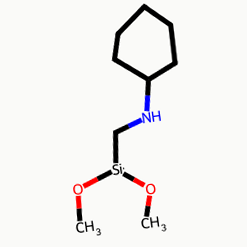 CO[Si](CNC1CCCCC1)OC